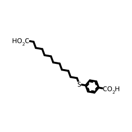 O=C(O)CCCCCCCCCCCSc1ccc(C(=O)O)cc1